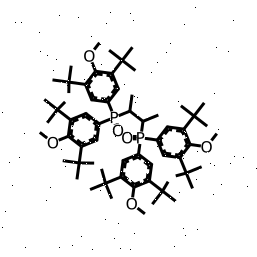 COc1c(C(C)(C)C)cc(P(=O)(c2cc(C(C)(C)C)c(OC)c(C(C)(C)C)c2)C(C)C(C)P(=O)(c2cc(C(C)(C)C)c(OC)c(C(C)(C)C)c2)c2cc(C(C)(C)C)c(OC)c(C(C)(C)C)c2)cc1C(C)(C)C